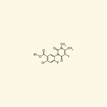 Cc1c(I)c(=O)n(-c2cc(C(=O)OC(C)C)c(Cl)cc2F)c(=O)n1C